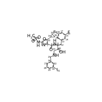 CS(=O)(=O)Nc1nc(C(=O)N[C@@H](Cc2cc(F)cc(F)c2)[C@H](O)CNCc2cccc(I)c2)c(C2CC2)o1